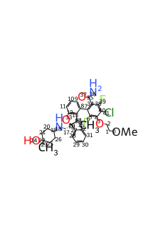 COCCOc1c(F)c(-c2cccc3c2[C@H](C)[C@@](CNC2CCC(C)(O)CC2)(c2ccccc2)O3)c(C(N)=O)c(F)c1Cl